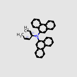 C/C=C\C(=C/C)N(c1cc2ccccc2c2ccccc12)c1cc2ccccc2c2ccccc12